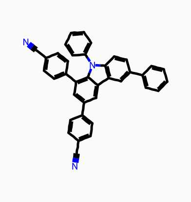 N#Cc1ccc(-c2cc(-c3ccc(C#N)cc3)c3c(c2)c2cc(-c4ccccc4)ccc2n3-c2ccccc2)cc1